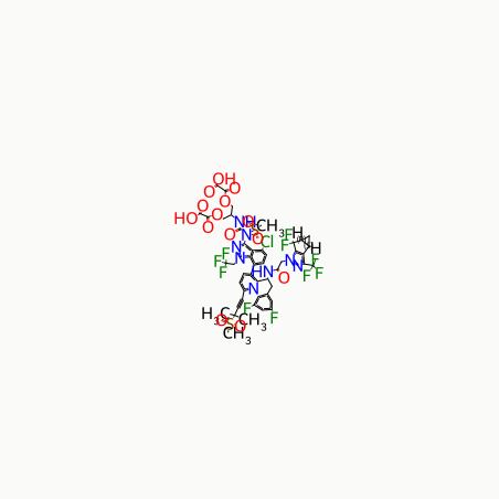 CC(C)(C#Cc1ccc(-c2ccc(Cl)c3c(N(C(=O)NC(COC(=O)C(=O)O)COC(=O)C(=O)O)S(C)(=O)=O)nn(CC(F)(F)F)c23)c(C(Cc2cc(F)cc(F)c2)NC(=O)Cn2nc(C(F)(F)F)c3c2C(F)(F)[C@@H]2C[C@H]32)n1)S(C)(=O)=O